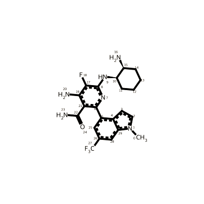 Cn1ccc2c(-c3nc(N[C@@H]4CCCC[C@@H]4N)c(F)c(N)c3C(N)=O)cc(C(F)(F)F)cc21